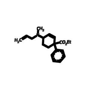 C=CCN(C)C1C=CC(C(=O)OCC)(c2ccccc2)CC1